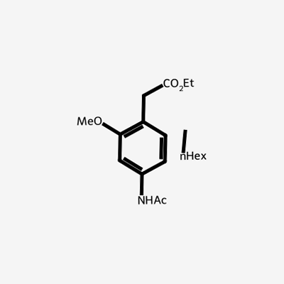 CCCCCCC.CCOC(=O)Cc1ccc(NC(C)=O)cc1OC